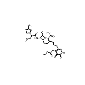 CCOC(=O)Cn1c(SC=CC2=C(C(=O)O)N3C(=O)C(NC(=O)C(=NOC)c4csc(N)n4)C3SC2)n[nH]c(=O)c1=O